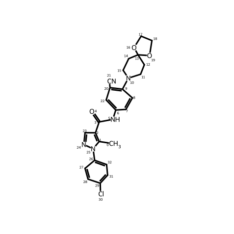 Cc1c(C(=O)Nc2ccc(N3CCC4(CC3)OCCO4)c(C#N)c2)cnn1-c1ccc(Cl)cc1